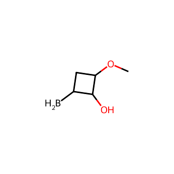 BC1CC(OC)C1O